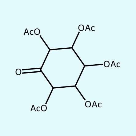 CC(=O)OC1C(=O)C(OC(C)=O)C(OC(C)=O)C(OC(C)=O)C1OC(C)=O